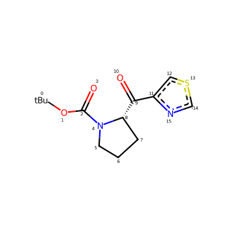 CC(C)(C)OC(=O)N1CCC[C@H]1C(=O)c1cs[c]n1